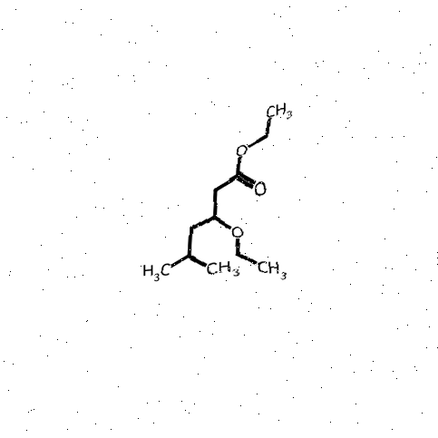 CCOC(=O)CC(CC(C)C)OCC